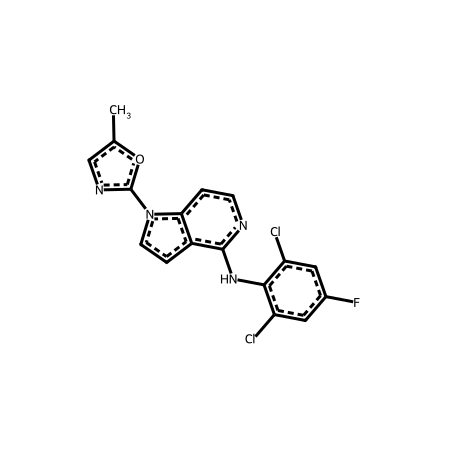 Cc1cnc(-n2ccc3c(Nc4c(Cl)cc(F)cc4Cl)nccc32)o1